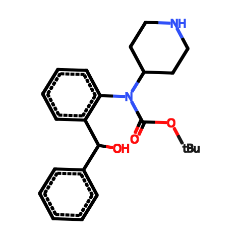 CC(C)(C)OC(=O)N(c1ccccc1C(O)c1ccccc1)C1CCNCC1